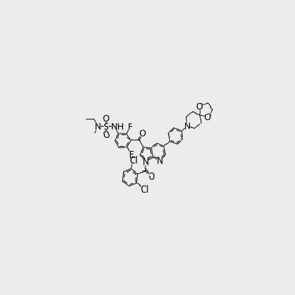 CCN(C)S(=O)(=O)Nc1ccc(F)c(C(=O)c2cn(C(=O)c3c(Cl)cccc3Cl)c3ncc(-c4ccc(N5CCC6(CC5)OCCO6)cc4)cc23)c1F